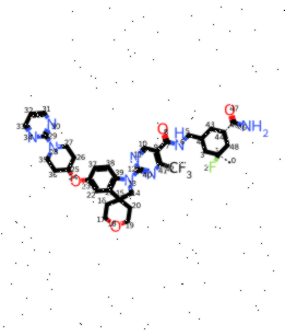 C[C@]1(F)CC(CNC(=O)c2cnc(N3CC4(CCOCC4)c4cc(OC5CCN(c6ncccn6)CC5)ccc43)nc2C(F)(F)F)C[C@H](C(N)=O)C1